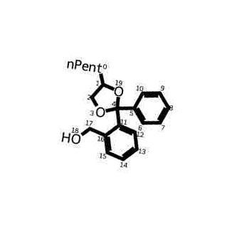 CCCCCC1COC(c2ccccc2)(c2ccccc2CO)O1